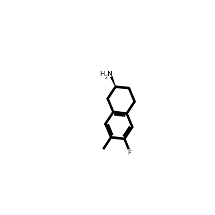 Cc1cc2c(cc1F)CC[C@H](N)C2